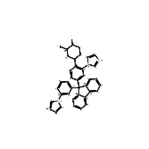 IC1CCC(c2ccc(C3(c4cccc(-n5ccnc5)c4)c4ccccc4-c4ccccc43)cc2-n2ccnc2)CC1I